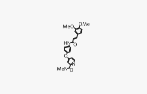 CNC(=O)c1cc(Oc2ccc(NC(=O)C=Cc3ccc(OC)c(OC)c3)cc2)ccn1